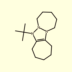 CC(C)(C)N1C2=C(CCCCC2)N2CCCCCN21